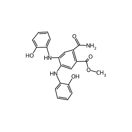 COC(=O)c1cc(Nc2ccccc2O)c(Nc2ccccc2O)cc1C(N)=O